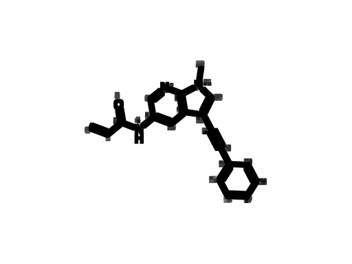 C=CC(=O)Nc1cnc2c(c1)c(C#Cc1ccccc1)cn2C